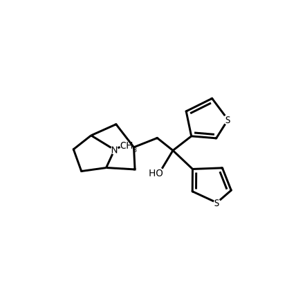 CN1C2CCC1CC(CC(O)(c1ccsc1)c1ccsc1)C2